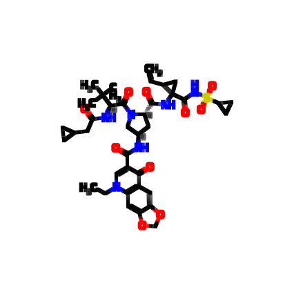 C=CC1CC1(NC(=O)[C@@H]1C[C@@H](NC(=O)c2cn(CC)c3cc4c(cc3c2=O)OCO4)CN1C(=O)[C@@H](NC(=O)CC1CC1)C(C)(C)C)C(=O)NS(=O)(=O)C1CC1